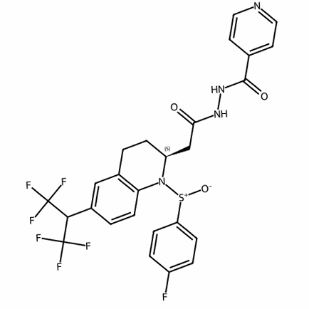 O=C(C[C@@H]1CCc2cc(C(C(F)(F)F)C(F)(F)F)ccc2N1[S+]([O-])c1ccc(F)cc1)NNC(=O)c1ccncc1